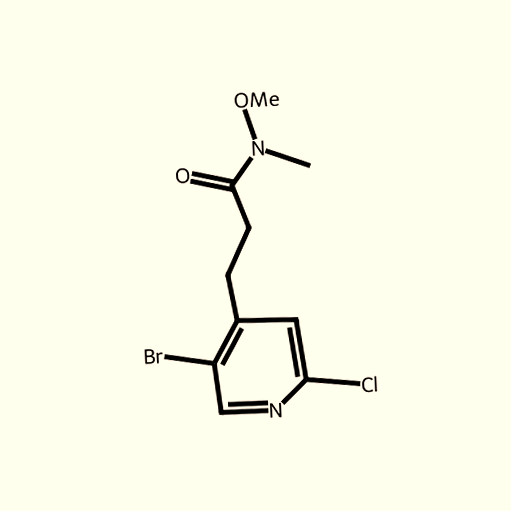 CON(C)C(=O)CCc1cc(Cl)ncc1Br